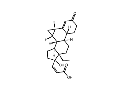 CC[C@]12CC[C@H]3[C@@H]([C@@H]4C[C@@H]4C4=CC(=O)CC[C@@H]43)[C@@H]1CC[C@@]2(O)/C=C\C(=O)O